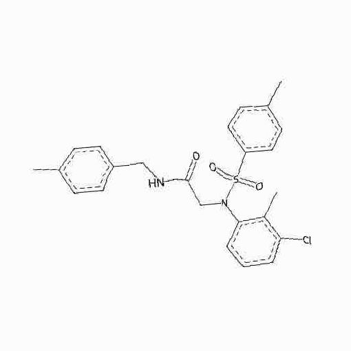 Cc1ccc(CNC(=O)CN(c2cccc(Cl)c2C)S(=O)(=O)c2ccc(C)cc2)cc1